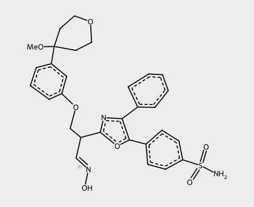 COC1(c2cccc(OCC(/C=N/O)c3nc(-c4ccccc4)c(-c4ccc(S(N)(=O)=O)cc4)o3)c2)CCOCC1